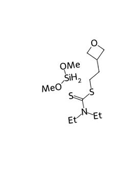 CCN(CC)C(=S)SCCC1COC1.CO[SiH2]OC